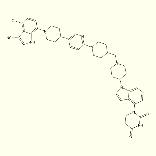 N#Cc1c[nH]c2c(N3CCC(c4ccc(N5CCC(CN6CCC(n7ccc8c(N9CCC(=O)NC9=O)cccc87)CC6)CC5)nc4)CC3)ccc(Cl)c12